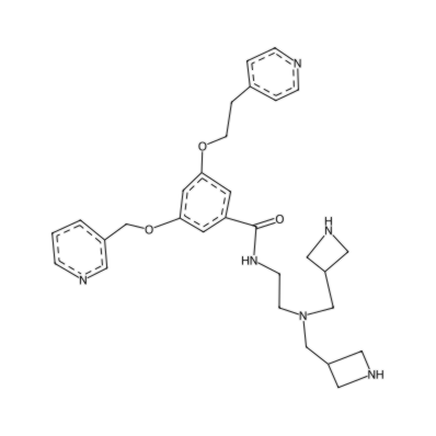 O=C(NCCN(CC1CNC1)CC1CNC1)c1cc(OCCc2ccncc2)cc(OCc2cccnc2)c1